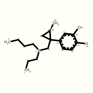 CCCCN(CCC)CC1(c2ccc(Cl)c(Cl)c2)C[C@H]1C